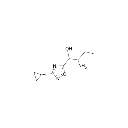 CCC(N)C(O)c1nc(C2CC2)no1